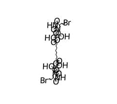 O=C(CCCCCCCCC(=O)OC(O)[C@@H]1O[C@H](n2cc(C=CBr)c(=O)[nH]c2=O)CC1O)OC(O)[C@@H]1O[C@H](n2cc(C=CBr)c(=O)[nH]c2=O)CC1O